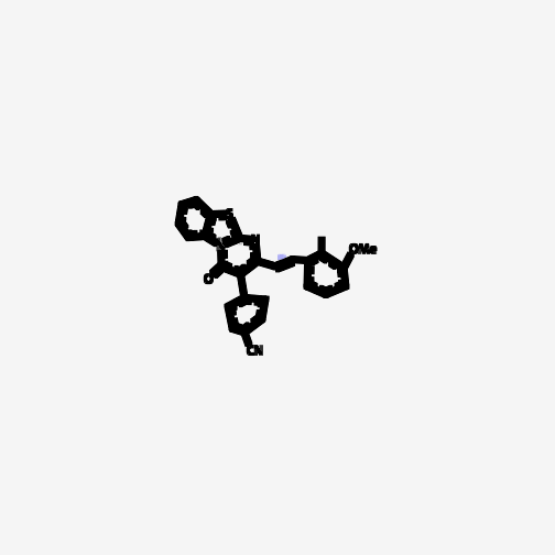 COc1cccc(/C=C/c2nc3sc4ccccc4n3c(=O)c2-c2ccc(C#N)cc2)c1C